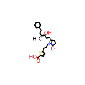 C[C@H](CCc1ccccc1)[C@H](O)C=C[C@H]1CCC(=O)N1CCCc1ccc(C(=O)O)s1